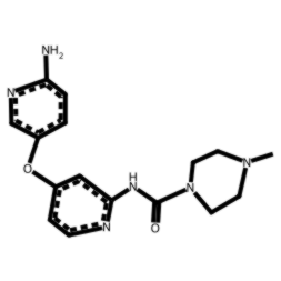 CN1CCN(C(=O)Nc2cc(Oc3ccc(N)nc3)ccn2)CC1